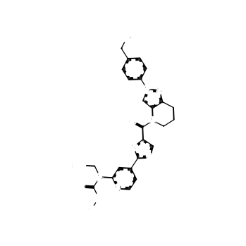 CC(C)(C)OC(=O)N(CC(F)(F)F)c1cc(-c2nc(C(=O)N3CCCc4nn(-c5ccc(CO)cc5)cc43)co2)ccn1